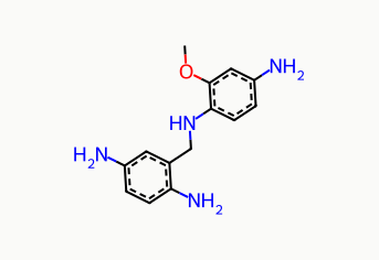 COc1cc(N)ccc1NCc1cc(N)ccc1N